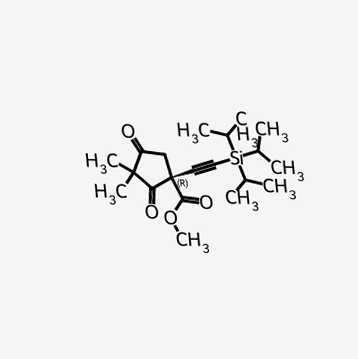 COC(=O)[C@@]1(C#C[Si](C(C)C)(C(C)C)C(C)C)CC(=O)C(C)(C)C1=O